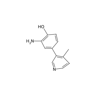 Cc1ccncc1-c1ccc(O)c(N)c1